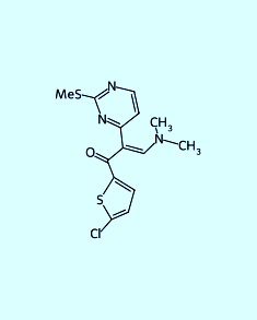 CSc1nccc(/C(=C\N(C)C)C(=O)c2ccc(Cl)s2)n1